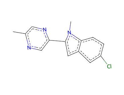 Cc1cnc(-c2cc3cc(Cl)ccc3n2C)cn1